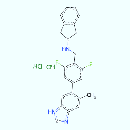 Cc1cc2nc[nH]c2cc1-c1cc(F)c(CNC2Cc3ccccc3C2)c(F)c1.Cl.Cl